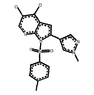 Cc1ccc(S(=O)(=O)n2c(-c3cnn(C)c3)cc3c(Cl)c(Cl)cnc32)cc1